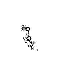 C[C@H](NCc1ccc(OCc2cccc([N+](=O)[O-])c2)c2c1OCO2)C(N)=O